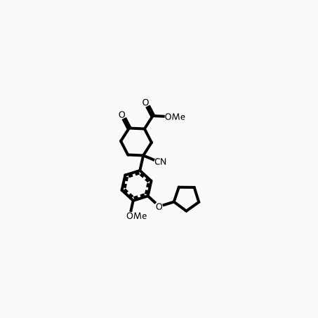 COC(=O)C1CC(C#N)(c2ccc(OC)c(OC3CCCC3)c2)CCC1=O